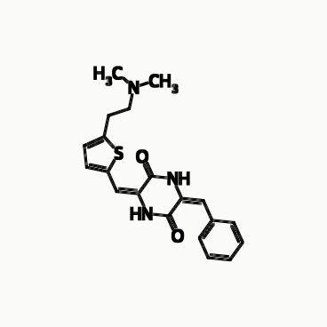 CN(C)CCc1ccc(C=c2[nH]c(=O)c(=Cc3ccccc3)[nH]c2=O)s1